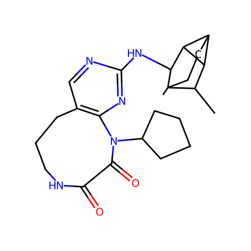 CC1C2C3CCC1(C)C(Nc1ncc4c(n1)N(C1CCCC1)C(=O)C(=O)NCCC4)C32